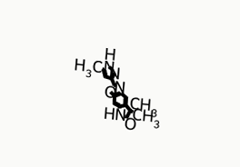 Cc1cc(-c2nc3cc4c(cc3o2)NC(=O)C4(C)C)n[nH]1